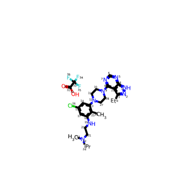 CCc1n[nH]c2ncnc(N3CCN(c4cc(Cl)cc(NCCN(C)C(C)C)c4C)CC3)c12.O=C(O)C(F)(F)F